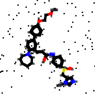 CCCCOCCOc1ccc(-c2ccc(N3CCCCCC3)c(C=CC(=O)Nc3ccc([S+]([O-])Cc4cncn4CCC)cc3)c2)cc1